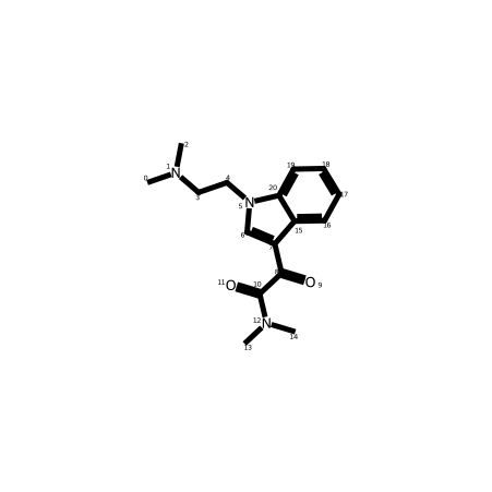 CN(C)CCn1cc(C(=O)C(=O)N(C)C)c2ccccc21